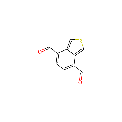 O=Cc1ccc(C=O)c2cscc12